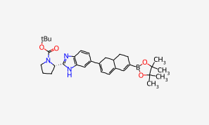 CC(C)(C)OC(=O)N1CCC[C@H]1c1nc2ccc(C3=CC=C4C=C(B5OC(C)(C)C(C)(C)O5)CCC4C3)cc2[nH]1